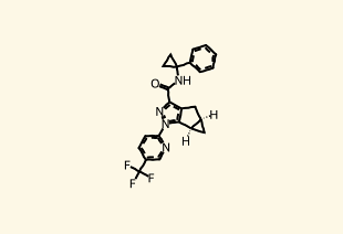 O=C(NC1(c2ccccc2)CC1)c1nn(-c2ccc(C(F)(F)F)cn2)c2c1C[C@H]1C[C@@H]21